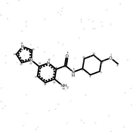 COC1CCC(NC(=O)c2nc(-n3ccnc3)ccc2N)CC1